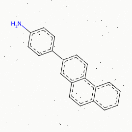 Nc1ccc(-c2ccc3c(ccc4ccccc43)c2)cc1